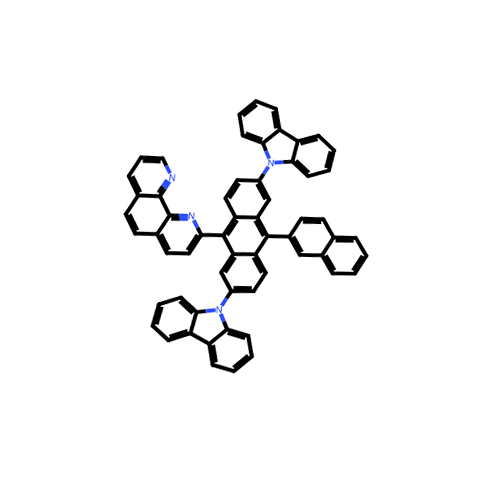 c1ccc2cc(-c3c4cc(-n5c6ccccc6c6ccccc65)ccc4c(-c4ccc5ccc6cccnc6c5n4)c4cc(-n5c6ccccc6c6ccccc65)ccc34)ccc2c1